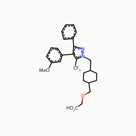 COc1cccc(-c2c(-c3ccccc3)nn(CC3CCC(COCC(=O)O)CC3)c2C(F)(F)F)c1